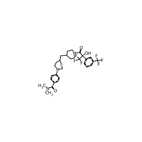 CN(C)C(=O)c1ccc(N2CCC(CC3CCN(C(=O)[C@](O)(c4cccc(C(F)(F)F)c4)C(F)(F)F)CC3)CC2)cc1